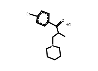 CCc1ccc(C(=O)C(C)CN2CCCCC2)cc1.Cl